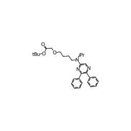 CC(C)N(CCCCOCC(=O)OC(C)(C)C)c1cnc(-c2ccccc2)c(-c2ccccc2)n1